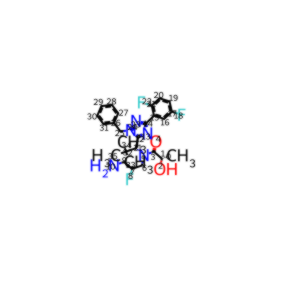 C[C@H](O)C(=O)N(C[C@@H](F)CN)[C@@H](c1nc(-c2cc(F)ccc2F)nn1Cc1ccccc1)C(C)(C)C